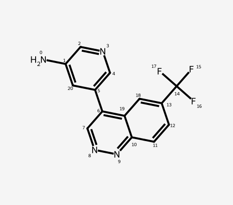 Nc1cncc(-c2cnnc3ccc(C(F)(F)F)cc23)c1